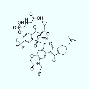 C#CCN1C(=O)COc2cc(F)c(N3C(=O)C4=C(CCCC4)C3=O)cc21.CS(=O)(=O)c1cc(C(F)(F)F)ccc1C(=O)c1cnoc1C1CC1.C[S+](C)C.O=C(O)CNCP(=O)([O-])O